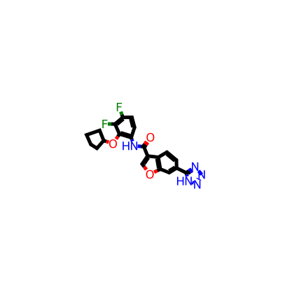 O=C(Nc1ccc(F)c(F)c1OC1CCCC1)c1coc2cc(-c3nnn[nH]3)ccc12